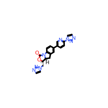 O=C1O[C@@H](Cn2ccnn2)[C@@H]2Cc3cc(-c4ccc(-n5ccnn5)nc4)ccc3N12